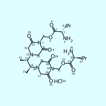 CC(C)[C@H](N)C(=O)OCN1C(=O)CN([C@H](C)[C@H](C)N2CC(=O)N(COC(=O)[C@@H](N)C(C)C)C(=O)C2)CC1=O.Cl